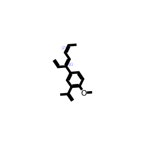 C=C/C(=C\C=C/C)c1ccc(OC)c(C(=C)C)c1